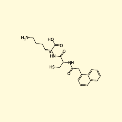 NCCCC[C@H](NC(=O)C(CS)NC(=O)Cc1cccc2ccccc12)C(=O)O